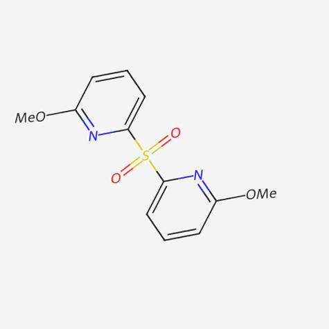 COc1cccc(S(=O)(=O)c2cccc(OC)n2)n1